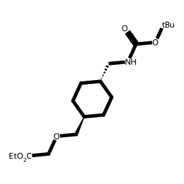 CCOC(=O)COC[C@H]1CC[C@H](CNC(=O)OC(C)(C)C)CC1